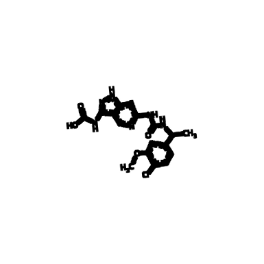 COc1cc(C(C)NC(=O)Nc2cc3[nH]nc(NC(=O)O)c3cn2)ccc1Cl